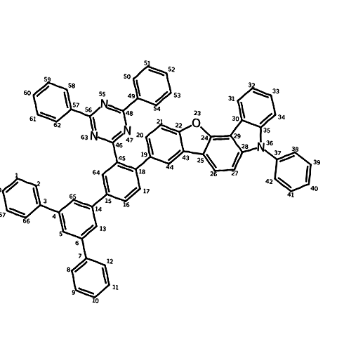 c1ccc(-c2cc(-c3ccccc3)cc(-c3ccc(-c4ccc5oc6c(ccc7c6c6ccccc6n7-c6ccccc6)c5c4)c(-c4nc(-c5ccccc5)nc(-c5ccccc5)n4)c3)c2)cc1